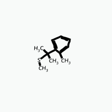 CSC(C)(C)c1ccccc1C